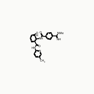 CNC(=N)c1ccc(C(=O)Nc2c(O)cccc2C(=O)Nc2ccc(C)cn2)cc1